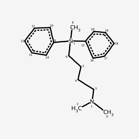 CN(C)CCCC[Si](C)(c1ccccc1)c1ccccc1